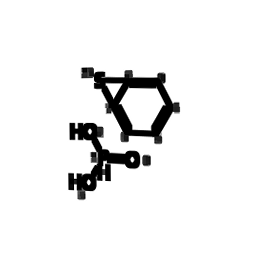 O=[PH](O)O.c1ccc2c(c1)S2